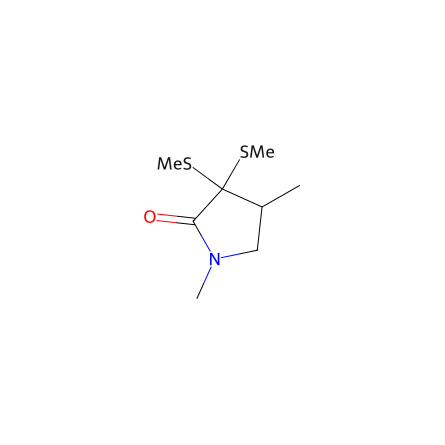 CSC1(SC)C(=O)N(C)CC1C